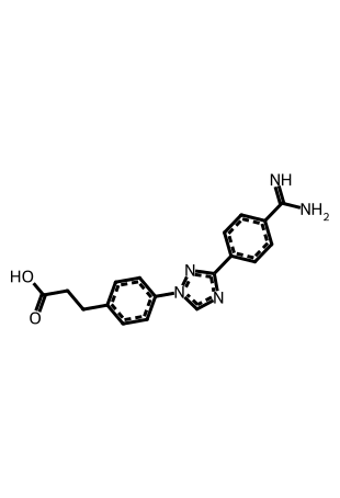 N=C(N)c1ccc(-c2ncn(-c3ccc(CCC(=O)O)cc3)n2)cc1